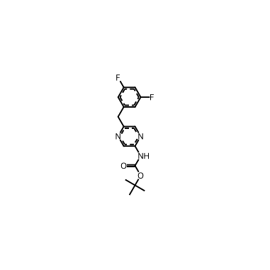 CC(C)(C)OC(=O)Nc1cnc(Cc2cc(F)cc(F)c2)cn1